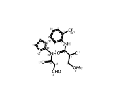 COCC(Cl)C(=O)Nc1ccccc1C(F)(F)F.O=CCC(=O)Nc1nccs1